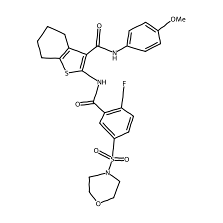 COc1ccc(NC(=O)c2c(NC(=O)c3cc(S(=O)(=O)N4CCOCC4)ccc3F)sc3c2CCCC3)cc1